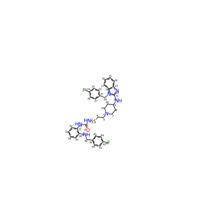 O=C(NSCCN1CCC(Nc2nc3ccccc3n2Cc2ccc(F)cc2)CC1)Nc1ccccc1NCc1ccc(F)cc1